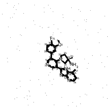 COc1cc(-c2cncc(-c3nc4nccc(C)c4[nH]3)c2N2CC[C@](C)(N)C2)ccc1F